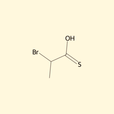 CC(Br)C(O)=S